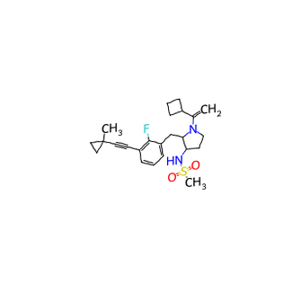 C=C(C1CCC1)N1CCC(NS(C)(=O)=O)C1Cc1cccc(C#CC2(C)CC2)c1F